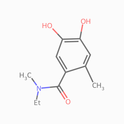 CCN(C)C(=O)c1cc(O)c(O)cc1C